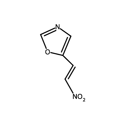 O=[N+]([O-])C=Cc1cnco1